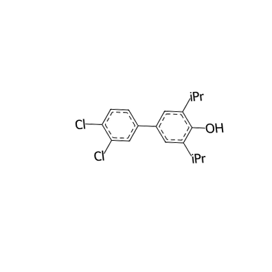 CC(C)c1cc(-c2ccc(Cl)c(Cl)c2)cc(C(C)C)c1O